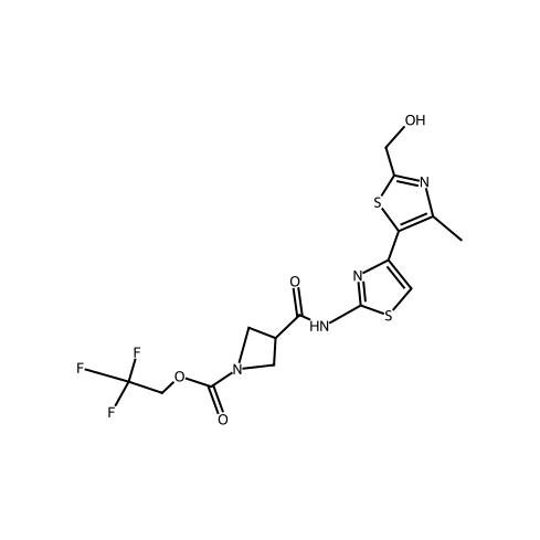 Cc1nc(CO)sc1-c1csc(NC(=O)C2CN(C(=O)OCC(F)(F)F)C2)n1